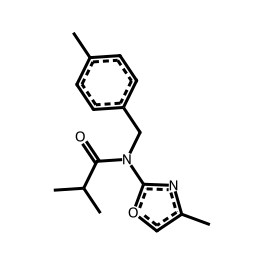 Cc1ccc(CN(C(=O)C(C)C)c2nc(C)co2)cc1